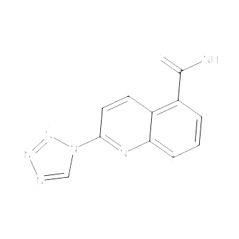 NC(=O)c1cccc2nc(-n3cnnn3)ccc12